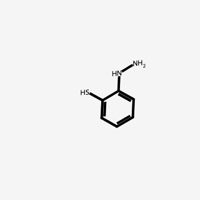 NNc1ccccc1S